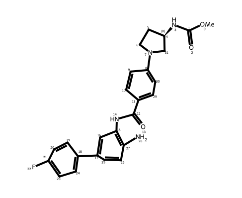 COC(=O)N[C@@H]1CCN(c2ccc(C(=O)Nc3cc(-c4ccc(F)cc4)ccc3N)cc2)C1